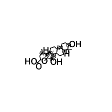 C[C@@H]1CC(C(=O)O)OC2[C@H]1[C@@]1(C)CCC34C[C@@]35CC[C@H](O)C(C)(C)[C@@H]5CCC4[C@]1(C)[C@H]2O